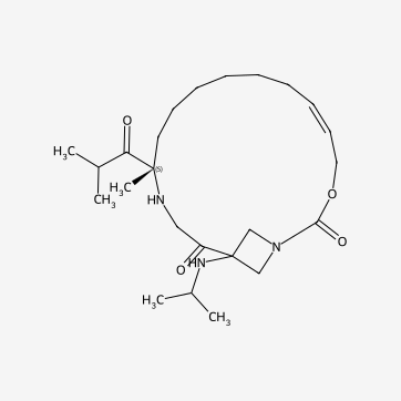 CC(C)NC12CN(C1)C(=O)OCC=CCCCCCC[C@@](C)(C(=O)C(C)C)NCC2=O